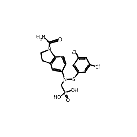 NC(=O)N1CCc2cc(N(CP(=O)(O)O)Sc3cc(Cl)cc(Cl)c3)ccc21